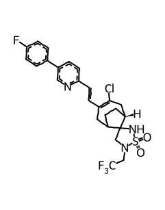 O=S1(=O)NC2(CN1CC(F)(F)F)C1CC[C@@H]2CC(Cl)=C(/C=C/c2ccc(-c3ccc(F)cc3)cn2)C1